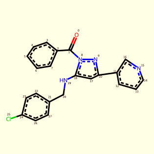 O=C(c1ccccc1)n1nc(-c2cccnc2)cc1NCc1ccc(Cl)cc1